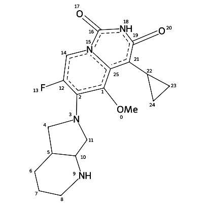 COc1c(N2CC3CCCNC3C2)c(F)cn2c(=O)[nH]c(=O)c(C3CC3)c12